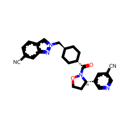 N#Cc1cncc([C@@H]2CCON2C(=O)[C@H]2CC[C@H](Cn3cc4ccc(C#N)cc4n3)CC2)c1